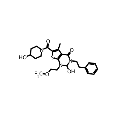 Cc1c(C(=O)N2CCC(O)CC2)sc2c1C(=O)N(CCc1ccccc1)C(O)N2CCOC(F)(F)F